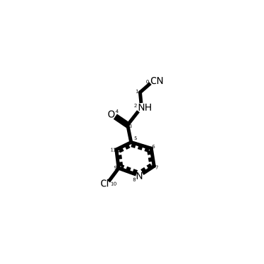 N#CCNC(=O)c1ccnc(Cl)c1